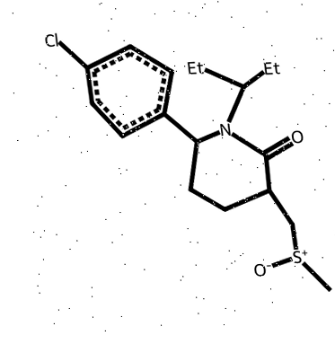 CCC(CC)N1C(=O)C(C[S+](C)[O-])CCC1c1ccc(Cl)cc1